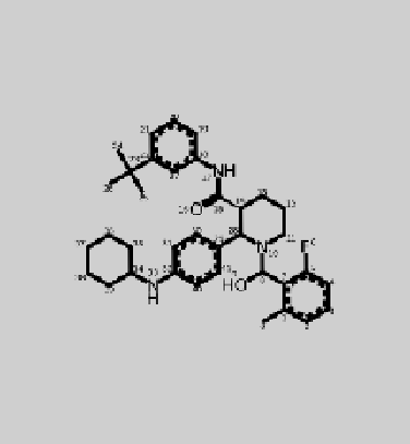 Cc1cccc(F)c1C(O)N1CCC[C@H](C(=O)Nc2cccc(C(C)(C)C)c2)C1c1ccc(NC2CCCCC2)cc1